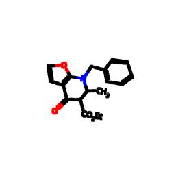 CCOC(=O)C1C(=O)c2ccoc2N(Cc2ccccc2)C1C